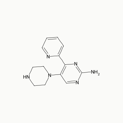 Nc1ncc(N2CCNCC2)c(-c2ccccn2)n1